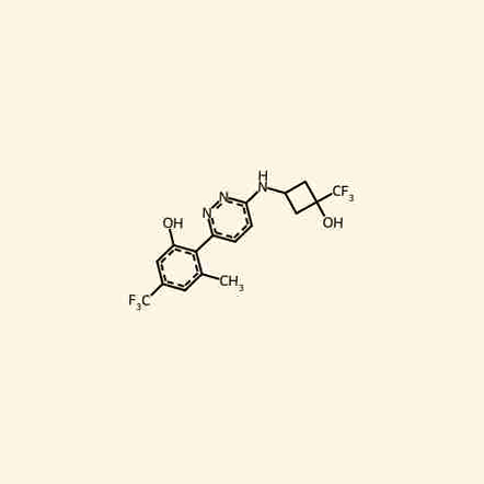 Cc1cc(C(F)(F)F)cc(O)c1-c1ccc(NC2CC(O)(C(F)(F)F)C2)nn1